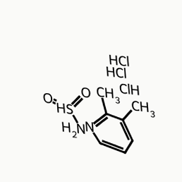 Cc1cccnc1C.Cl.Cl.Cl.N[SH](=O)=O